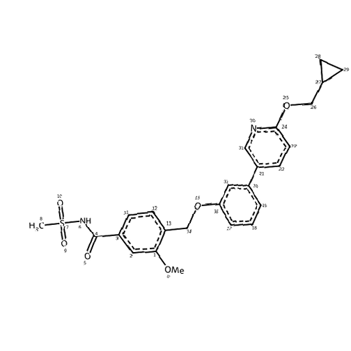 COc1cc(C(=O)NS(C)(=O)=O)ccc1COc1cccc(-c2ccc(OCC3CC3)nc2)c1